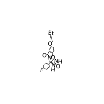 CCC#CCOc1ccc2c(c1)C(=O)N(C[C@@]1(c3ccc(F)cc3)NC(=O)NC1=O)C2